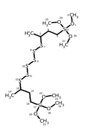 CO[Si](CCC(C)SSSSSSC(C)CC[Si](OC)(OC)OC)(OC)OC